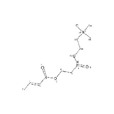 CC=CC(=O)OCC[PH](=O)OCC[N+](C)(C)C